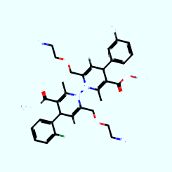 CCCCOC(=O)C1=C(C)N(N2C(C)=C(C(=O)OC)C(c3ccccc3Cl)C(C(=O)OCC)=C2COCCN)C(COCCN)=C(C(=O)OCC)C1c1cccc([N+](=O)[O-])c1